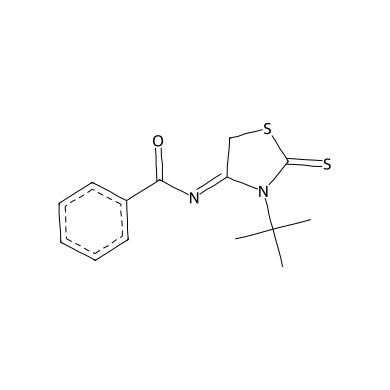 CC(C)(C)N1C(=S)SC/C1=N\C(=O)c1ccccc1